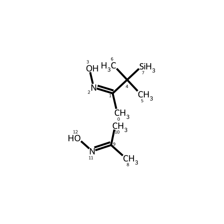 CC(=NO)C(C)(C)[SiH3].CC(C)=NO